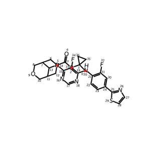 CC1(OC(=O)N2CC3COCC(C2)C3Oc2ncnc(Nc3ccc(-c4nccs4)cc3F)c2F)CC1